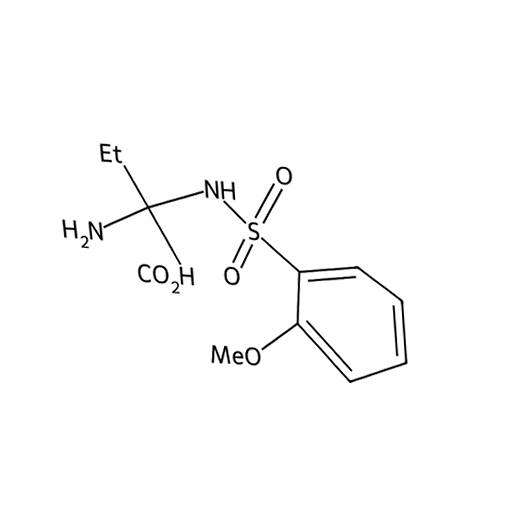 CCC(N)(NS(=O)(=O)c1ccccc1OC)C(=O)O